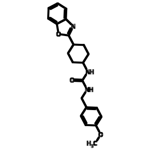 COc1ccc(CNC(=O)NC2CCC(c3nc4ccccc4o3)CC2)cc1